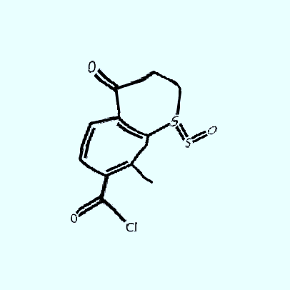 Cc1c(C(=O)Cl)ccc2c1S(=S=O)CCC2=O